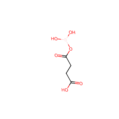 O=C(O)CCC(=O)OB(O)O